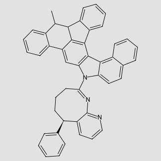 CC1c2ccccc2-c2cc3c(c4c2C1c1ccccc1-4)c1c2ccccc2ccc1n3/C1=N/c2ncccc2[C@@H](c2ccccc2)CCC1